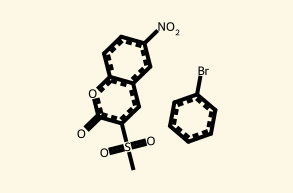 Brc1ccccc1.CS(=O)(=O)c1cc2cc([N+](=O)[O-])ccc2oc1=O